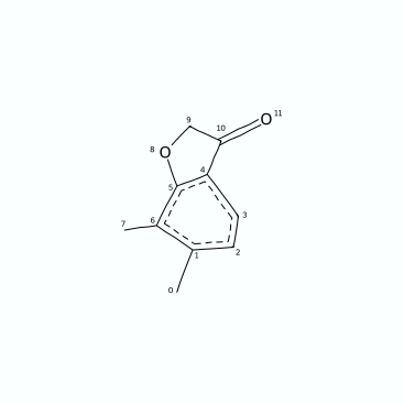 Cc1ccc2c(c1C)OCC2=O